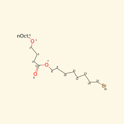 CCCCCCCCOCCCC(=O)OCCCCCCCCBr